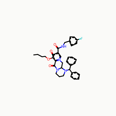 CCCCOc1c2n(cc(C(=O)NCc3ccc(F)cc3)c1=O)CC1N(CCCN1C(c1ccccc1)c1ccccc1)C2=O